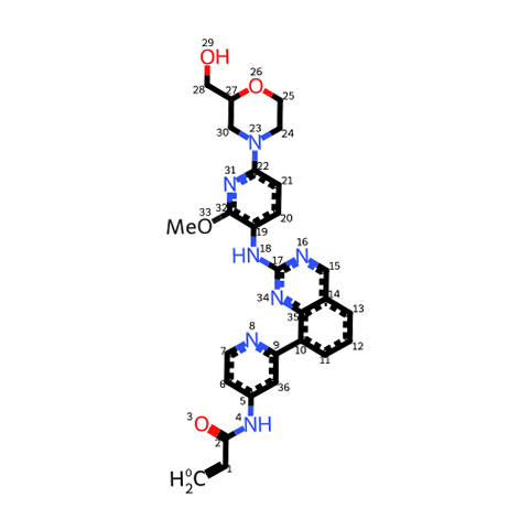 C=CC(=O)Nc1ccnc(-c2cccc3cnc(Nc4ccc(N5CCOC(CO)C5)nc4OC)nc23)c1